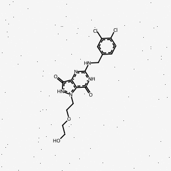 O=c1[nH]n(CCOCCO)c2c(=O)[nH]c(NCc3ccc(Cl)c(Cl)c3)nc12